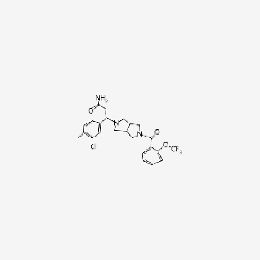 Cc1ccc(C(CC(N)=O)N2CC3CN(C(=O)c4ccccc4OC(F)(F)F)CC3C2)cc1Cl